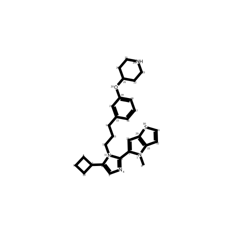 Cn1c(-c2ncc(C3CCC3)n2CCCc2cccc(OC3CCNCC3)c2)cc2sccc21